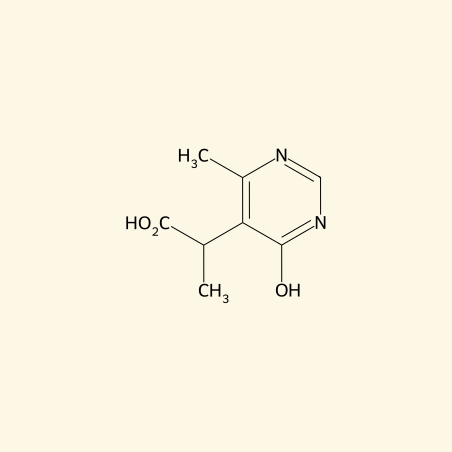 Cc1ncnc(O)c1C(C)C(=O)O